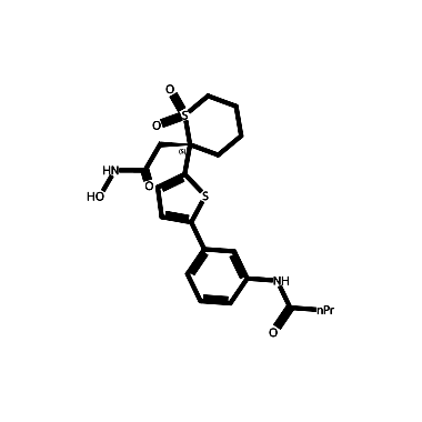 CCCC(=O)Nc1cccc(-c2ccc([C@@]3(CC(=O)NO)CCCCS3(=O)=O)s2)c1